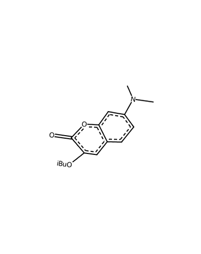 CC(C)COc1cc2ccc(N(C)C)cc2oc1=O